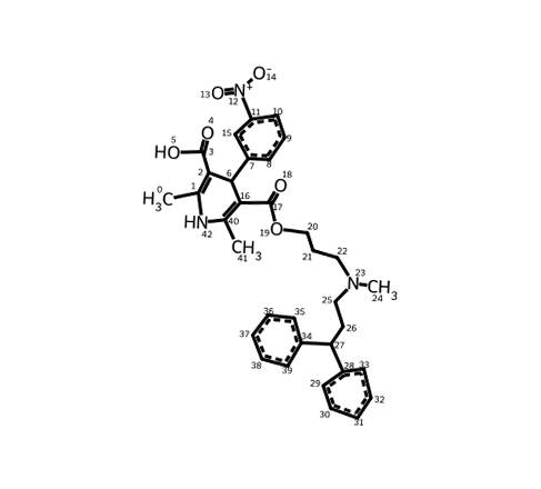 CC1=C(C(=O)O)C(c2cccc([N+](=O)[O-])c2)C(C(=O)OCCCN(C)CCC(c2ccccc2)c2ccccc2)=C(C)N1